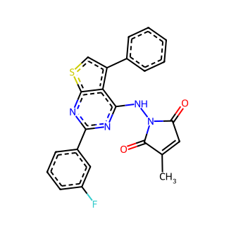 CC1=CC(=O)N(Nc2nc(-c3cccc(F)c3)nc3scc(-c4ccccc4)c23)C1=O